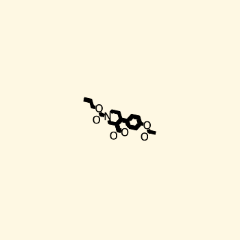 C=CCOC(=O)N1CCc2c(c(=O)oc3cc(OC(C)=O)ccc23)C1